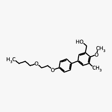 CCCCOCCOc1ccc(-c2cc(C)c(OC)c(CO)c2)cc1